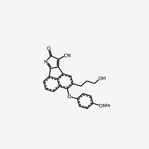 COc1ccc(Oc2c(CCCO)cc3c4c(cccc24)C2=NC(=O)C(C#N)=C23)cc1